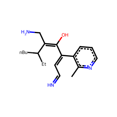 CCCCC(CC)/C(CN)=C(O)\C(=C\C=N)c1cccnc1C